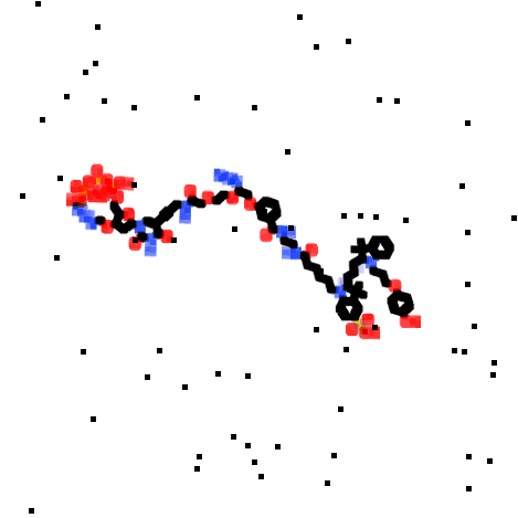 CC1(C)/C(=C\C=C\C2N(CCCOc3ccc(O)cc3)c3ccccc3C2(C)C)N(CCCCCC(=O)NCCNC(=O)c2cccc(OCC(N=[N+]=[N-])OCCOCC(=O)NCC#Cc3cn(C4CC(OCN=[N+]=[N-])C(COP(=O)(O)OP(=O)(O)OP(=O)(O)O)O4)c(=O)[nH]c3=O)c2)c2ccc(S(=O)(=O)O)cc21